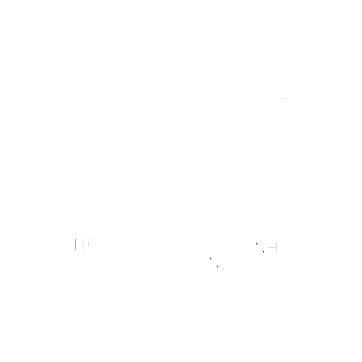 Oc1cccc(-c2cnc3[nH]cc(-c4ccc(CF)cc4)c3c2)c1